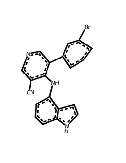 N#Cc1cncc(-c2cccc(Br)c2)c1Nc1cccc2[nH]ccc12